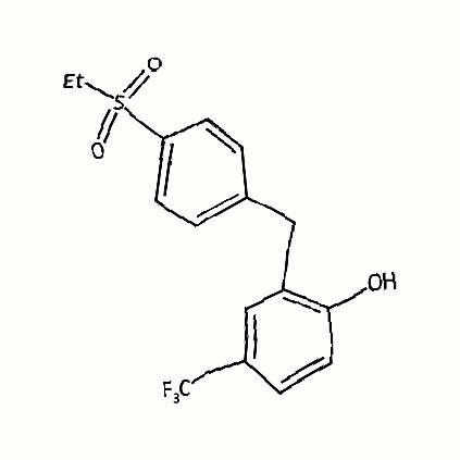 CCS(=O)(=O)c1ccc(Cc2cc(C(F)(F)F)ccc2O)cc1